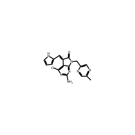 Cc1cnc(CN2C(=O)/C(=C/c3ccc[nH]3)c3c(Cl)nc(N)nc32)cn1